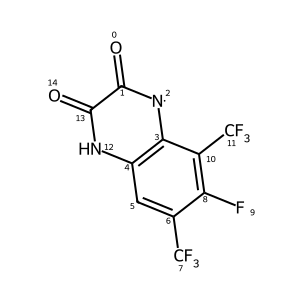 O=C1[N]c2c(cc(C(F)(F)F)c(F)c2C(F)(F)F)NC1=O